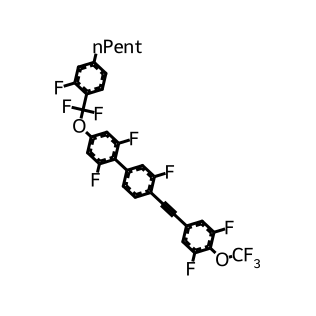 CCCCCc1ccc(C(F)(F)Oc2cc(F)c(-c3ccc(C#Cc4cc(F)c(OC(F)(F)F)c(F)c4)c(F)c3)c(F)c2)c(F)c1